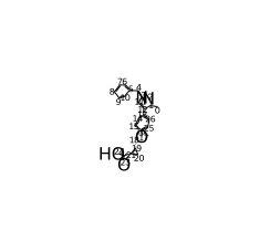 Cc1nn(Cc2ccccc2)cc1-c1ccc(OC[C@@H]2C[C@H]2C(=O)O)cc1